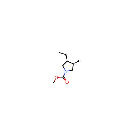 CC[C@@H]1CN(C(=O)OC)C[C@@H]1C